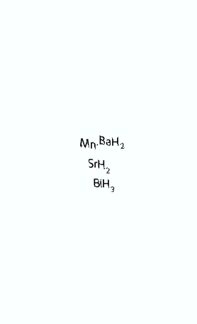 [BaH2].[BiH3].[Mn].[SrH2]